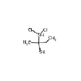 CCC(C)(S)[SiH](Cl)Cl